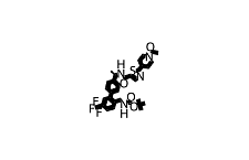 CC(=O)N1CCC(c2ncc(C(=O)N[C@H](C)c3ccc(-c4cc(C(F)(F)F)ccc4CNC(=O)OC(C)(C)C)cc3)s2)CC1